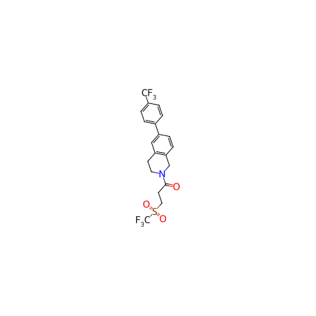 O=C(CCS(=O)(=O)C(F)(F)F)N1CCc2cc(-c3ccc(C(F)(F)F)cc3)ccc2C1